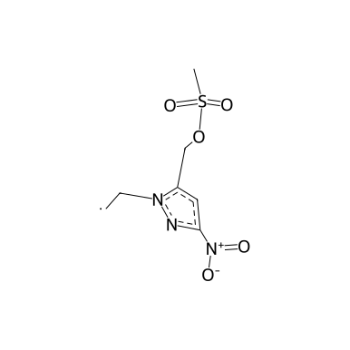 [CH2]Cn1nc([N+](=O)[O-])cc1COS(C)(=O)=O